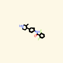 CC1=C(c2ccc(NC(=O)c3c(F)cccc3F)cc2)CCNC1